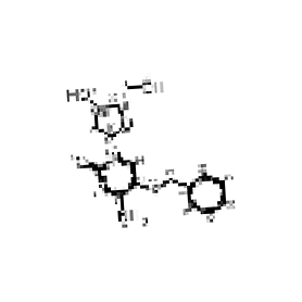 Nc1nc(=O)n([C@@H]2C[C@@H](O)[C@H](CO)O2)cc1SCc1ccccc1